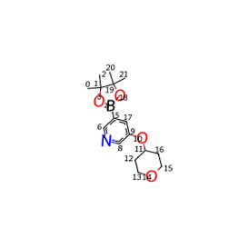 CC1(C)OB(c2cncc(OC3CCOCC3)c2)OC1(C)C